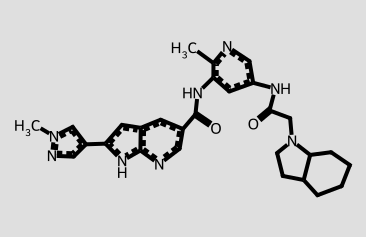 Cc1ncc(NC(=O)CN2CCC3CCCCC32)cc1NC(=O)c1cnc2[nH]c(-c3cnn(C)c3)cc2c1